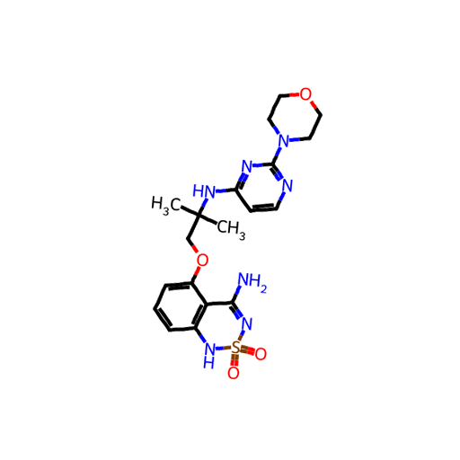 CC(C)(COc1cccc2c1C(N)=NS(=O)(=O)N2)Nc1ccnc(N2CCOCC2)n1